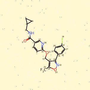 O=C(NCC1CC1)c1ccc(OCc2c(-c3ccc(F)cc3)noc2C(F)(F)F)nc1